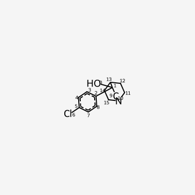 OC1(c2ccc(Cl)cc2)CN2CCC1CC2